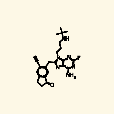 C#Cc1cc2c(cc1Cc1nc3c(N)nc(F)nc3n1CCCNC(C)(C)C)C(=O)CC2